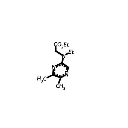 CCOC(=O)CN(CC)c1cnc(C)c(C)n1